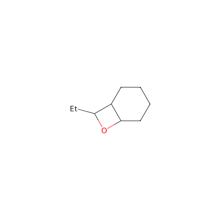 CCC1OC2CCCCC12